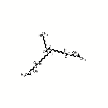 CNCCCCCCn1c(=O)n(CCCCCCNC(=O)OCC(O)CN2CC2C)c(=O)n(CCCCCCNC(=O)OCC(O)CN2CC2C)c1=O